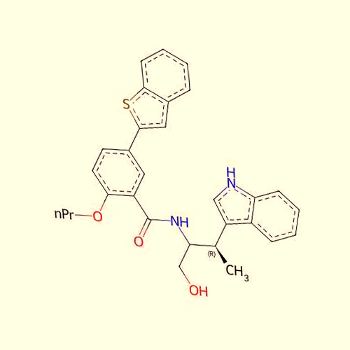 CCCOc1ccc(-c2cc3ccccc3s2)cc1C(=O)NC(CO)[C@H](C)c1c[nH]c2ccccc12